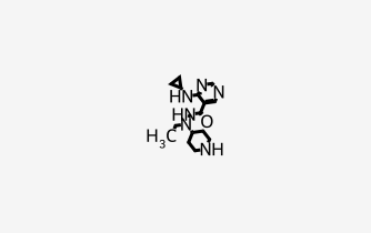 CCN(NC(=O)c1cncnc1NC1CC1)C1CCNCC1